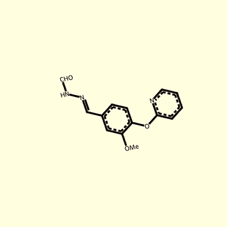 COc1cc(C=NNC=O)ccc1Oc1ccccn1